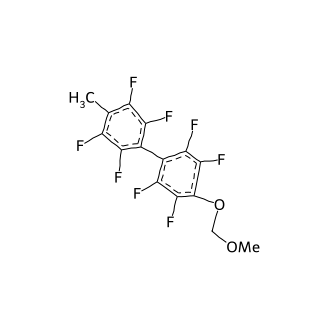 COCOc1c(F)c(F)c(-c2c(F)c(F)c(C)c(F)c2F)c(F)c1F